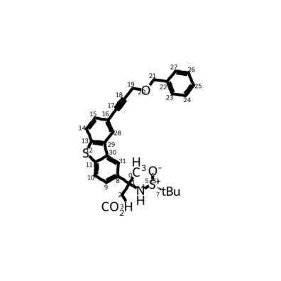 CC(CC(=O)O)(N[S@+]([O-])C(C)(C)C)c1ccc2sc3ccc(C#CCOCc4ccccc4)cc3c2c1